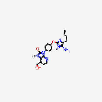 C=C/C=C\c1nc(Oc2ccc(-n3c(=O)n(CC)c4c(CO)ccnc43)cc2)n(C)c1N